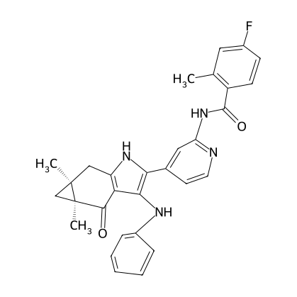 Cc1cc(F)ccc1C(=O)Nc1cc(-c2[nH]c3c(c2Nc2ccccc2)C(=O)[C@@]2(C)C[C@@]2(C)C3)ccn1